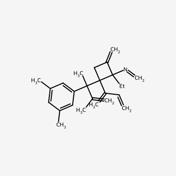 C=CC(=C)C1(C(C)(C(=C)C)c2cc(C)cc(C)c2)CC(=C)C1(CC)N=C